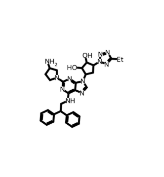 CCc1nnn(C2CC(n3cnc4c(NCC(c5ccccc5)c5ccccc5)nc(N5CCC(N)C5)nc43)C(O)C2O)n1